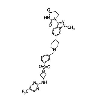 Cn1nc(N2CCC(=O)NC2=O)c2ccc(C3CCN(Cc4cccc(S(=O)(=O)N5CC(Nc6ncc(C(F)(F)F)cn6)C5)c4)CC3)cc21